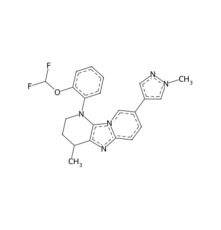 CC1CCN(c2ccccc2OC(F)F)c2c1nc1ccc(-c3cnn(C)c3)cn21